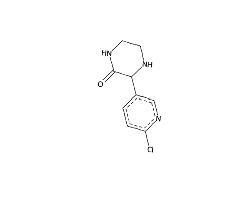 O=C1NCCNC1c1ccc(Cl)nc1